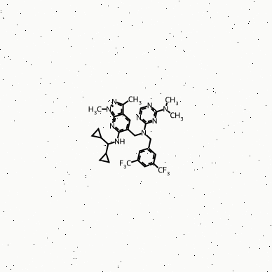 Cc1nn(C)c2nc(NC(C3CC3)C3CC3)c(CN(Cc3cc(C(F)(F)F)cc(C(F)(F)F)c3)c3ncnc(N(C)C)n3)cc12